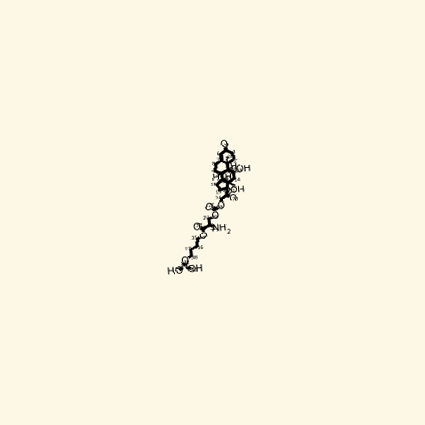 C[C@]12CCC(=O)C=C1CC[C@@H]1[C@@H]2[C@@H](O)C[C@@]2(C)[C@H]1CC[C@]2(O)C(=O)COC(=O)OCC(N)C(=O)OCCCCON(O)O